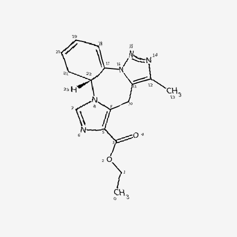 CCOC(=O)c1ncn2c1Cc1c(C)nnn1C1=CC=CC[C@H]12